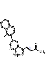 Cc1c(-c2cnc3[nH]cc(/C=C/C(N)=O)c3c2)cnc2ccccc12